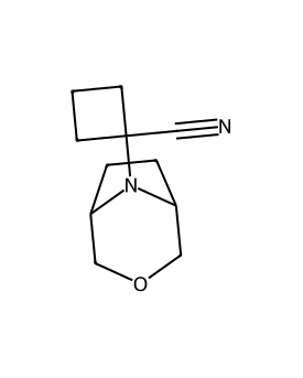 N#CC1(N2C3CCC2COC3)CCC1